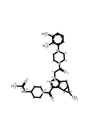 Cc1cccc(N2CCN(C(=O)Cn3nc(C(=O)N4CCC(NC(N)=O)CC4)c4c3CC3C(C)C43)CC2)c1C